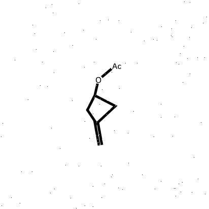 C=C1CC(OC(C)=O)C1